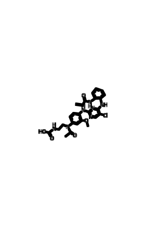 C=CC(=O)Nc1ccccc1Nc1nc(Nc2ccc(N(CCNC(=O)O)C(C)=O)cc2OC)ncc1Cl